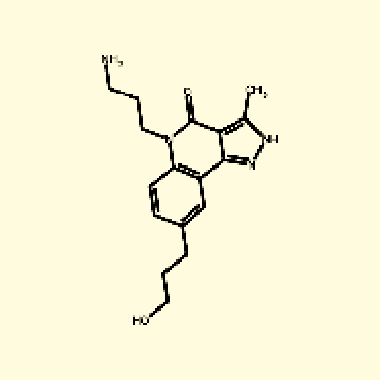 Cc1[nH]nc2c1c(=O)n(CCCN)c1ccc(CCCO)cc21